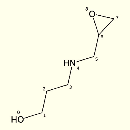 OCCCNCC1CO1